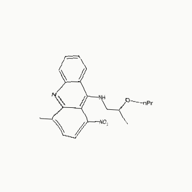 CCCOC(C)CNc1c2ccccc2nc2c(C)ccc([N+](=O)[O-])c12